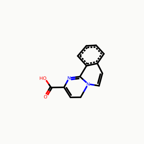 O=C(O)C1=CCN2C=Cc3ccccc3C2=N1